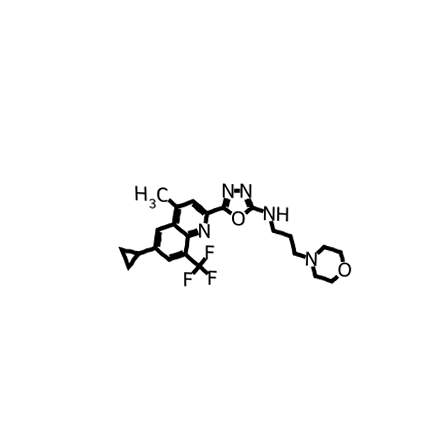 Cc1cc(-c2nnc(NCCCN3CCOCC3)o2)nc2c(C(F)(F)F)cc(C3CC3)cc12